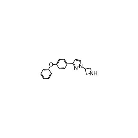 c1ccc(Oc2ccc(-c3ccn(C4CNC4)n3)cc2)cc1